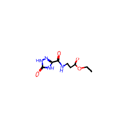 CCOC(=O)CCNC(=O)c1n[nH]c(=O)[nH]1